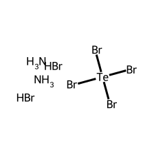 Br.Br.Br[Te](Br)(Br)Br.N.N